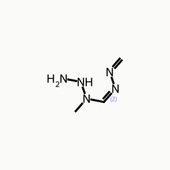 C=N/N=C\N(C)NN